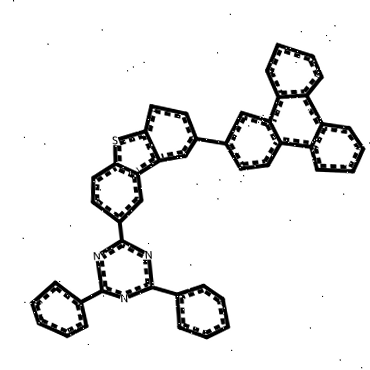 c1ccc(-c2nc(-c3ccccc3)nc(-c3ccc4sc5ccc(-c6ccc7c8ccccc8c8ccccc8c7c6)cc5c4c3)n2)cc1